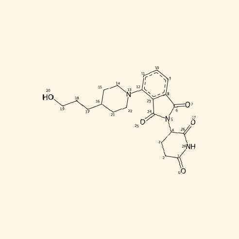 O=C1CCC(N2C(=O)c3cccc(N4CCC(CCCO)CC4)c3C2=O)C(=O)N1